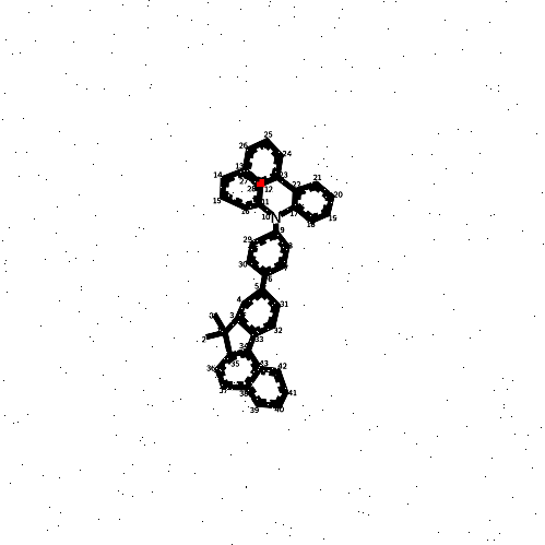 CC1(C)c2cc(-c3ccc(N(c4ccccc4)c4ccccc4-c4ccccc4)cc3)ccc2-c2c1ccc1ccccc21